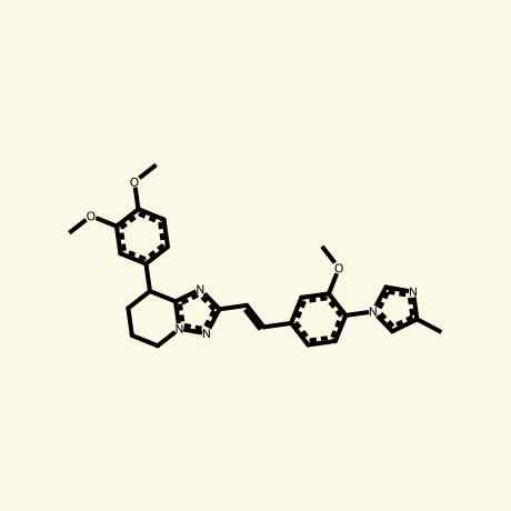 COc1ccc(C2CCCn3nc(C=Cc4ccc(-n5cnc(C)c5)c(OC)c4)nc32)cc1OC